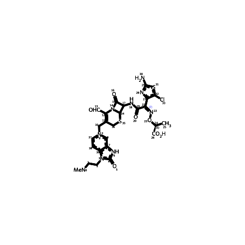 CNCCn1c(=O)[nH]c2c[n+](CC3=C(C=O)N4C(=O)C(NC(=O)/C(=N\O[C@@H](C)C(=O)O)c5nc(N)sc5Cl)C4SC3)ccc21